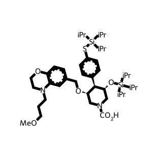 COCCCN1CCOc2ccc(CO[C@H]3CN(C(=O)O)C[C@@H](O[Si](C(C)C)(C(C)C)C(C)C)[C@@H]3c3ccc(S[Si](C(C)C)(C(C)C)C(C)C)cc3)cc21